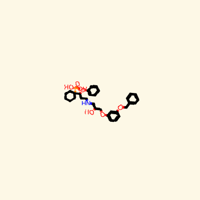 O=P(O)(O)C1(C(CCNCC(O)COc2cccc(OCc3ccccc3)c2)Oc2ccccc2)CCCCC1